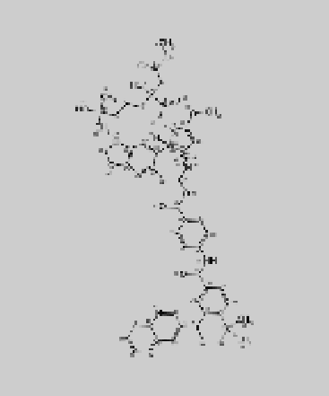 COC(=O)CC(O)(CCCC(C)(C)O)C(=O)O[C@@H]1C(OC)=C[C@]23CCCN2C(OC(=O)c2ccc(NC(=O)c4ccc5c(c4)C(c4cnc6ccccc6c4)CCC5(C)C)cc2)Cc2cc4c(cc2[C@H]13)OCO4